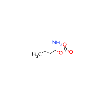 CCCC[O][V](=[O])=[O].N